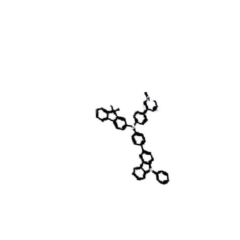 C=N/C=C(\C=C/C)c1ccc(N(c2ccc(-c3ccc4c(c3)c3ccccc3n4-c3ccccc3)cc2)c2ccc3c(c2)C(C)(C)c2ccccc2-3)cc1